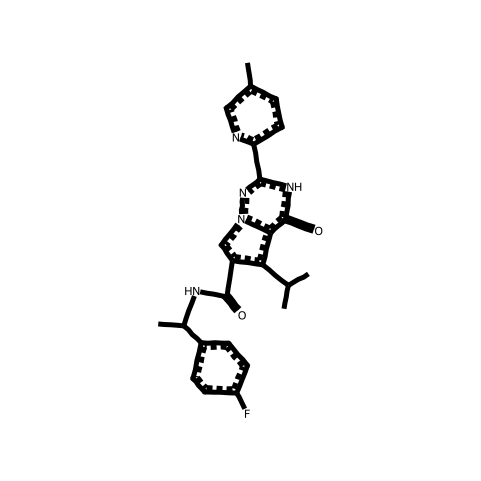 Cc1ccc(-c2nn3cc(C(=O)NC(C)c4ccc(F)cc4)c(C(C)C)c3c(=O)[nH]2)nc1